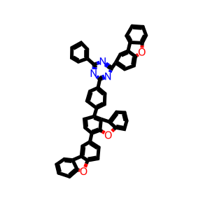 c1ccc(-c2nc(-c3ccc(-c4ccc(-c5ccc6oc7ccccc7c6c5)c5oc6ccccc6c45)cc3)nc(-c3ccc4oc5ccccc5c4c3)n2)cc1